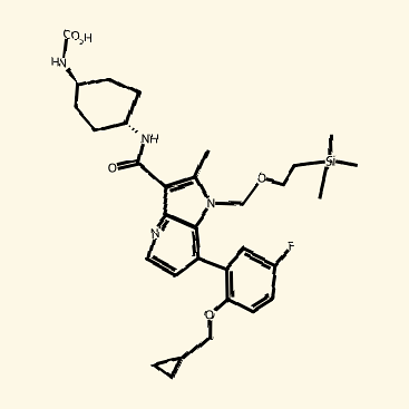 Cc1c(C(=O)N[C@H]2CC[C@H](NC(=O)O)CC2)c2nccc(-c3cc(F)ccc3OCC3CC3)c2n1COCC[Si](C)(C)C